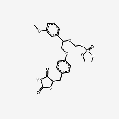 COc1cccc(C(COc2ccc(CC3SC(=O)NC3=O)cc2)OCOP(=O)(OC)OC)c1